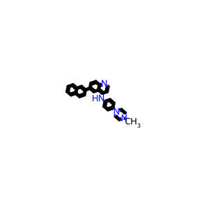 CN1CCN(c2ccc(Nc3ccnc4ccc(-c5ccc6ccccc6c5)cc34)cc2)CC1